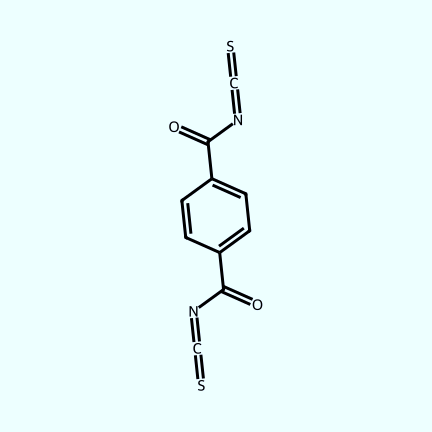 O=C(N=C=S)c1ccc(C(=O)N=C=S)cc1